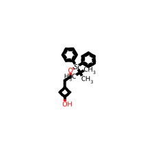 CC(C)(C)[Si](OCCC1CC(O)C1)(c1ccccc1)c1ccccc1